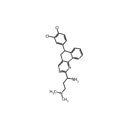 CN(C)CCC(N)c1ncc2c(n1)-c1ccccc1C(c1ccc(Cl)c(Cl)c1)C2